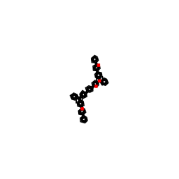 C1=C(c2ccc(N(c3ccccc3)c3ccc(-c4ccc(-c5ccccc5)cc4)cc3)cc2)CCC(c2ccc(N(c3ccccc3)c3ccc(-c4ccc(-c5ccccc5)cc4)cc3)cc2)=C1